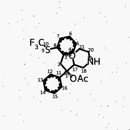 CC(=O)O[C@](Cc1ccccc1SC(F)(F)F)(c1ccccc1)C1CNCCO1